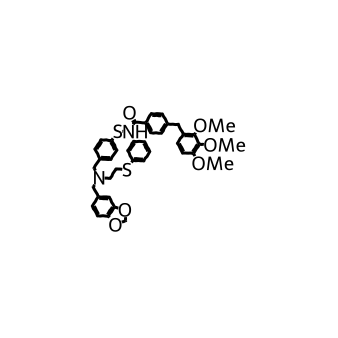 COc1ccc(Cc2ccc(C(=O)NSc3ccc(CN(CCSc4ccccc4)Cc4ccc5c(c4)OCO5)cc3)cc2)c(OC)c1OC